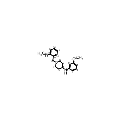 COc1cccc(NC2CCN(Cc3ccccc3OC)CC2)c1